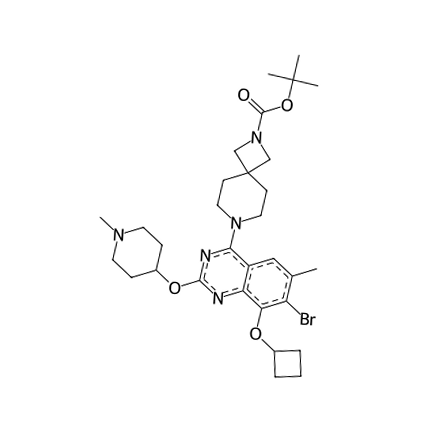 Cc1cc2c(N3CCC4(CC3)CN(C(=O)OC(C)(C)C)C4)nc(OC3CCN(C)CC3)nc2c(OC2CCC2)c1Br